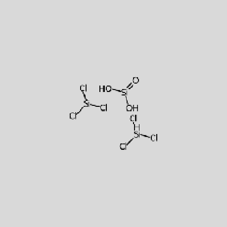 Cl[SiH](Cl)Cl.Cl[Si](Cl)Cl.O=[Si](O)O